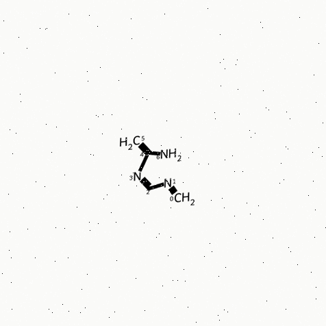 C=N/C=N\C(=C)N